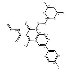 C=CNC(=O)c1c(O)c2cc(-c3ccc(F)cc3)cnc2n(CCN2CC(C)CC(C)C2)c1=O